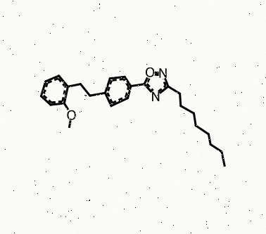 CCCCCCCCc1noc(-c2ccc([CH]Cc3ccccc3OC)cc2)n1